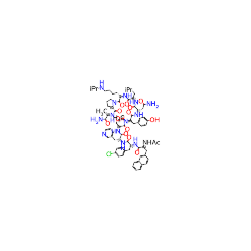 CC(=O)N[C@@H](Cc1ccc2ccccc2c1)C(=O)N[C@@H](Cc1ccc(Cl)cc1)C(=O)N[C@H](Cc1cccnc1)C(=O)N[C@@H](CO)C(=O)N(C)[C@H](Cc1ccc(O)cc1)C(=O)N[C@@H](CC(N)=O)C(=O)N[C@H](CC(C)C)C(=O)N[C@@H](CCCCNC(C)C)C(=O)N1CCC[C@H]1C(=O)N[C@@H](C)C(N)=O